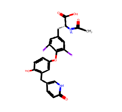 CC(=O)N[C@H](Cc1cc(I)c(Oc2ccc(O)c(Cc3ccc(=O)[nH]c3)c2)c(I)c1)C(=O)O